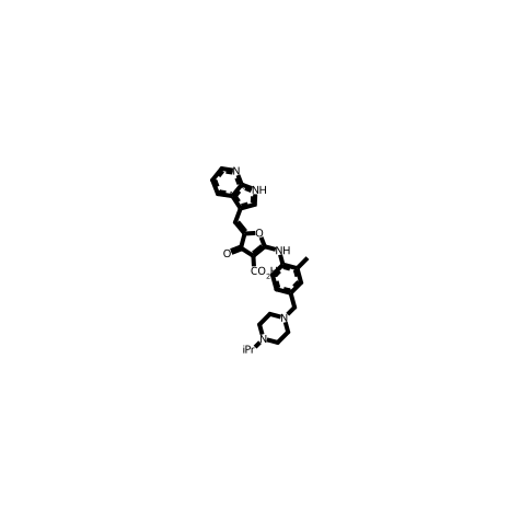 Cc1cc(CN2CCN(C(C)C)CC2)ccc1NC1=C(C(=O)O)C(=O)C(=Cc2c[nH]c3ncccc23)O1